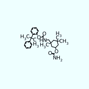 CC1(C)CC(OC(N)=O)CC(C)(CNC(=O)Oc2ccccc2C(C)(C)c2ccccc2)C1